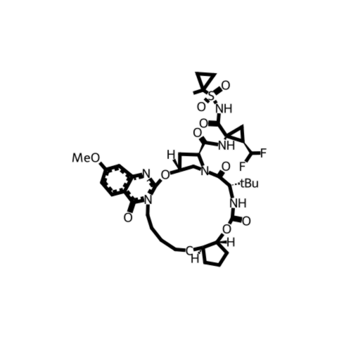 COc1ccc2c(=O)n3c(nc2c1)O[C@@H]1C[C@@H](C(=O)N[C@]2(C(=O)NS(=O)(=O)C4(C)CC4)C[C@H]2C(F)F)N(C1)C(=O)[C@H](C(C)(C)C)NC(=O)O[C@@H]1CCC[C@H]1CCCCC3